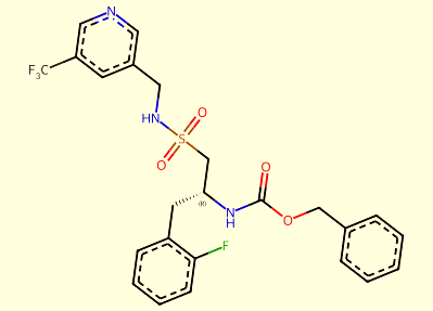 O=C(N[C@H](Cc1ccccc1F)CS(=O)(=O)NCc1cncc(C(F)(F)F)c1)OCc1ccccc1